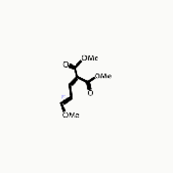 CO/C=C/C=C(C(=O)OC)C(=O)OC